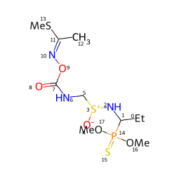 CCC(N[S+]([O-])CNC(=O)ON=C(C)SC)P(=S)(OC)OC